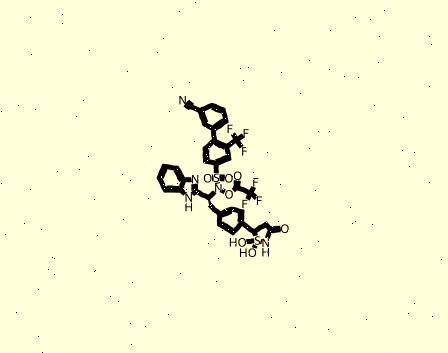 N#Cc1cccc(-c2ccc(S(=O)(=O)N(OC(=O)C(F)(F)F)[C@@H](Cc3ccc(C4CC(=O)NS4(O)O)cc3)c3nc4ccccc4[nH]3)cc2C(F)(F)F)c1